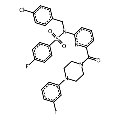 O=C(c1cccc(N(Cc2ccc(Cl)cc2)S(=O)(=O)c2ccc(F)cc2)n1)N1CCN(c2cccc(F)c2)CC1